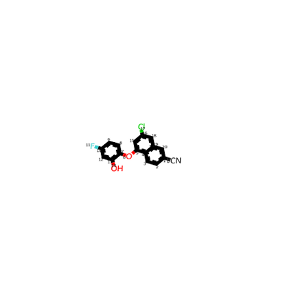 N#Cc1ccc2c(Oc3ccc(F)cc3O)cc(Cl)cc2c1